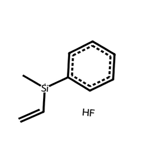 C=C[Si](C)c1ccccc1.F